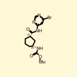 CC(C)(C)OC(=O)N[C@@H]1CCC[C@H](C(=O)Nc2cc(Br)ncn2)C1